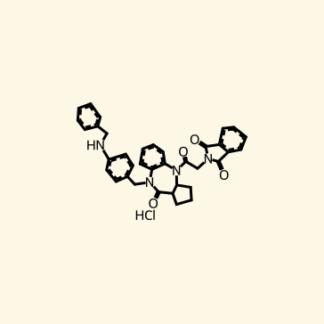 Cl.O=C1c2ccccc2C(=O)N1CC(=O)N1c2ccccc2N(Cc2ccc(NCc3ccccc3)cc2)C(=O)C2CCCC21